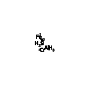 [AlH3].[Cr].[SiH3][Fe]